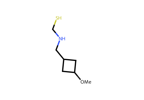 COC1CC(CNCS)C1